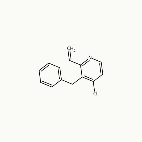 C=Cc1nccc(Cl)c1Cc1ccccc1